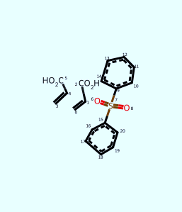 C=CC(=O)O.C=CC(=O)O.O=S(=O)(c1ccccc1)c1ccccc1